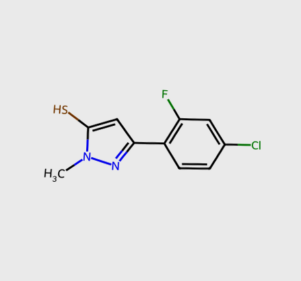 Cn1nc(-c2ccc(Cl)cc2F)cc1S